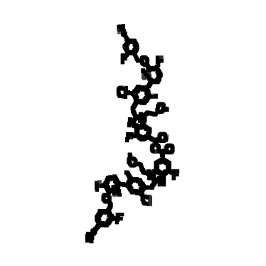 COCCn1c(Cc2cc(C)c(-c3ccc(F)c(OCc4ccc(C#N)cc4F)n3)cc2Cl)nc2c(F)cc(C(=O)OC(=O)c3cc(F)c4nc(Cc5cc(C)c(-c6ccc(F)c(OCc7ccc(C#N)cc7F)n6)cc5Cl)n(CCOC)c4c3)cc21